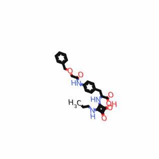 CCCNc1c(NC(Cc2ccc(NC(=O)COCc3ccccc3)cc2)C(=O)O)c(=O)c1=O